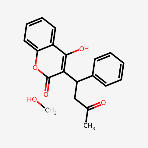 CC(=O)CC(c1ccccc1)c1c(O)c2ccccc2oc1=O.CO